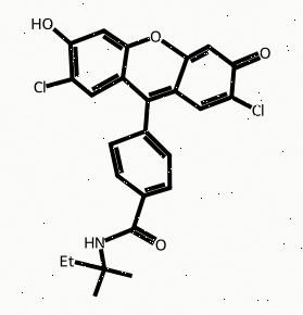 CCC(C)(C)NC(=O)c1ccc(-c2c3cc(Cl)c(=O)cc-3oc3cc(O)c(Cl)cc23)cc1